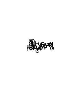 COC[C@H]1CN(c2cc(C)c3c4c(c(=O)oc3c2C)CN(C(=O)c2ccc(C(=O)NS(=O)(=O)C3(C)CC3)c(N3CCC(F)(F)C3)c2)CC4)CCN1C